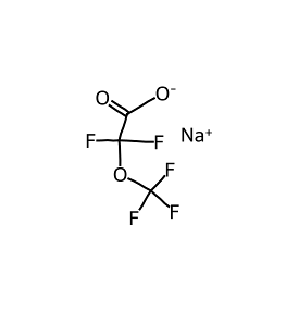 O=C([O-])C(F)(F)OC(F)(F)F.[Na+]